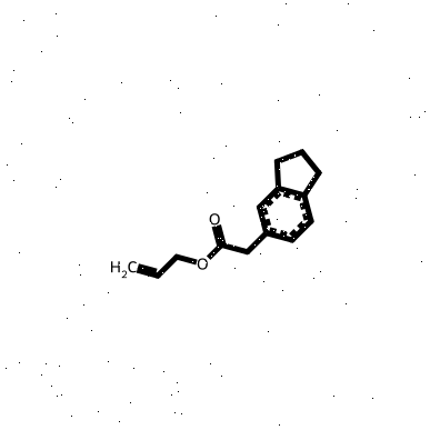 C=CCOC(=O)Cc1ccc2c(c1)CCC2